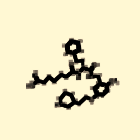 Cc1ccc(OCCC2CCCNC2)cc1CNC(=O)[C@H](CCc1ccccc1)NC(=O)CCCCCC(=O)O